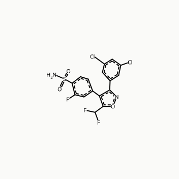 NS(=O)(=O)c1ccc(-c2c(-c3cc(Cl)cc(Cl)c3)noc2C(F)F)cc1F